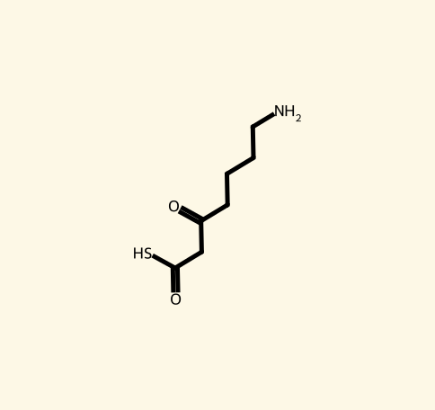 NCCCCC(=O)CC(=O)S